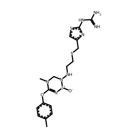 Cc1ccc(OC2=N[S+]([O-])N(NCCSCc3csc(NC(=N)N)n3)CN2C)cc1